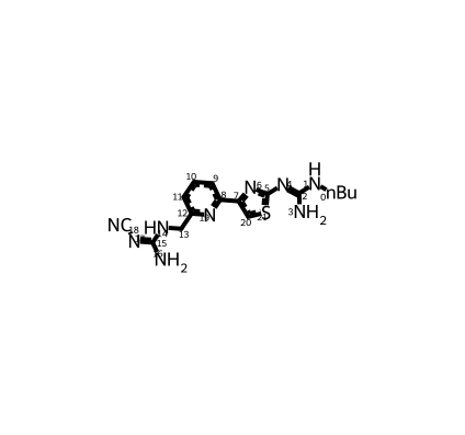 CCCCN/C(N)=N/c1nc(-c2cccc(CN/C(N)=N\C#N)n2)cs1